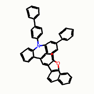 c1ccc(-c2ccc(N(c3cccc(-c4ccccc4)c3)c3ccccc3-c3ccc4oc5c6ccccc6ccc5c4c3)cc2)cc1